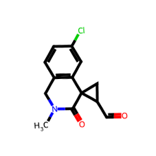 CN1Cc2ccc(Cl)cc2C2(CC2C=O)C1=O